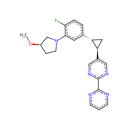 CO[C@@H]1CCN(c2cc([C@@H]3C[C@H]3c3cnc(-c4ncccn4)nc3)ccc2F)C1